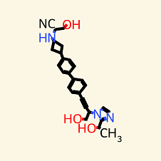 CC(O)c1nccn1C(C#Cc1ccc(-c2ccc(C3CC(NC(C#N)CO)C3)cc2)cc1)CO